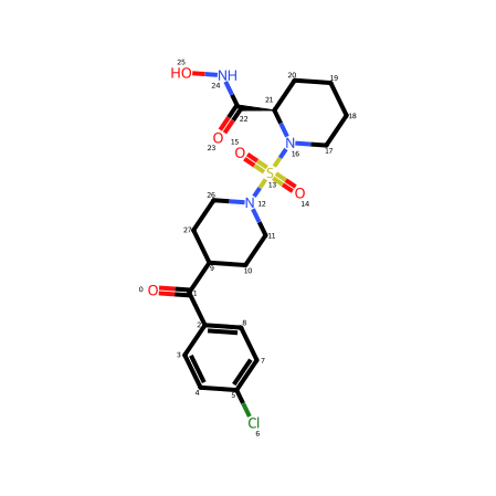 O=C(c1ccc(Cl)cc1)C1CCN(S(=O)(=O)N2CCCC[C@@H]2C(=O)NO)CC1